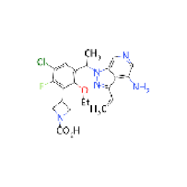 C=Cc1nn(C(C)c2cc(Cl)c(F)c(C3CN(C(=O)O)C3)c2OCC)c2cncc(N)c12